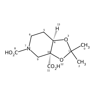 CC1(C)O[C@@H]2CCN(C(=O)O)C[C@]2(C(=O)O)O1